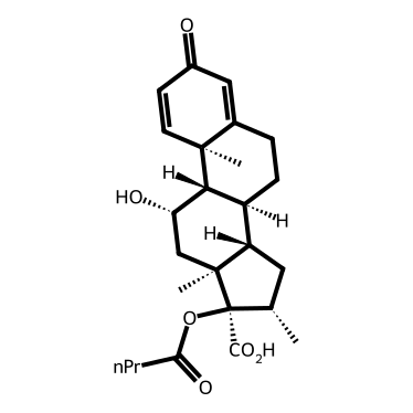 CCCC(=O)O[C@]1(C(=O)O)[C@@H](C)C[C@H]2[C@@H]3CCC4=CC(=O)C=C[C@]4(C)[C@H]3[C@@H](O)C[C@@]21C